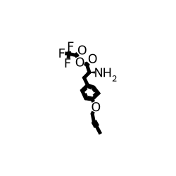 CC#CCOc1ccc(C[C@H](N)C(=O)OC(=O)C(F)(F)F)cc1